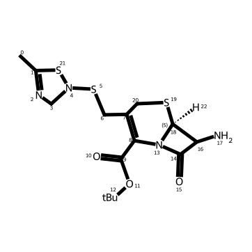 CC1=NCN(SCC2=C(C(=O)OC(C)(C)C)N3C(=O)C(N)[C@@H]3SC2)S1